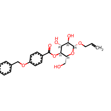 C=CCO[C@@H]1O[C@H](CO)[C@@H](OC(=O)c2ccc(OCc3ccccc3)cc2)[C@H](O)[C@H]1O